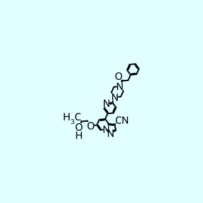 C[C@@H](O)COc1cc(-c2ccc(N3CCN(C(=O)Cc4ccccc4)CC3)nc2)c2c(C#N)cnn2c1